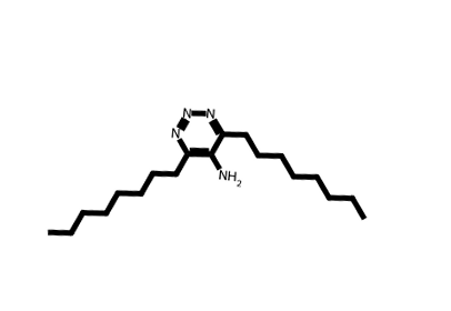 CCCCCCCCc1nnnc(CCCCCCCC)c1N